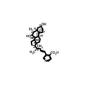 CC[C@H]1[C@@H](O)[C@@H]2[C@H](CC[C@]3(C)[C@@H]([C@H](C)C/C=C/c4cnccc4C(=O)O)CC[C@@H]23)[C@@]2(C)CC[C@@H](O)C[C@@H]12